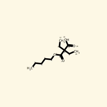 CCCCCOC(=O)C(CC)(CC)C(=O)O